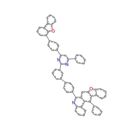 c1ccc(-c2cc(-c3ccc(-c4cccc5c4oc4ccccc45)cc3)nc(-c3cccc(-c4ccc(-c5nc6ccccc6c6c(-c7ccccc7)c7c(cc56)oc5ccccc57)cc4)c3)n2)cc1